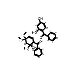 COC1(OC)C=CC(C(=O)c2ccccc2)C(O)(O)C1.O=C(c1ccccc1)c1ccc(O)cc1O